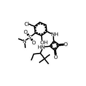 CCC(Nc1c(Nc2ccc(Cl)c(S(=O)(=O)N(C)C)c2O)c(=O)c1=O)C(C)(C)C